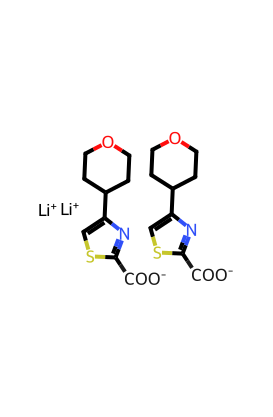 O=C([O-])c1nc(C2CCOCC2)cs1.O=C([O-])c1nc(C2CCOCC2)cs1.[Li+].[Li+]